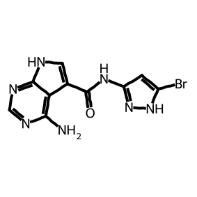 Nc1ncnc2[nH]cc(C(=O)Nc3cc(Br)[nH]n3)c12